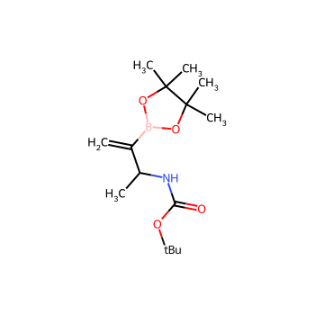 C=C(B1OC(C)(C)C(C)(C)O1)C(C)NC(=O)OC(C)(C)C